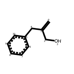 C=C(CO)Cc1ccccc1